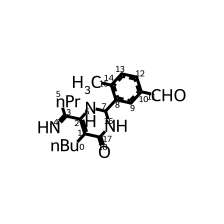 CCCCC1=C(C(=N)CCC)NC(c2cc(C=O)ccc2C)NC1=O